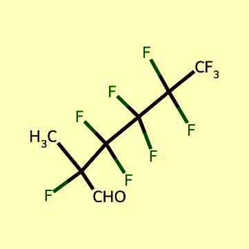 CC(F)(C=O)C(F)(F)C(F)(F)C(F)(F)C(F)(F)F